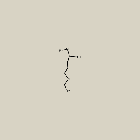 CCCNC(C)CCCNCC(C)C